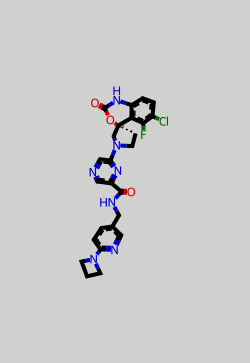 O=C1Nc2ccc(Cl)c(F)c2[C@]2(CCN(c3cncc(C(=O)NCc4ccc(N5CCC5)nc4)n3)C2)O1